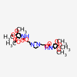 COc1cc(NC(=O)OCCCN2CCCN(CCCOC(=O)Nc3cc(OC)c(OC)c(OC(C)=O)c3)CC2)cc(OC)c1OC